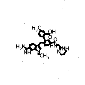 CCn1cc(Cc2ccc(C(=O)NCC3=NCCCN3)cc2-c2ccc(C)cc2C(=O)O)c2ccc(C(=N)N)cc21